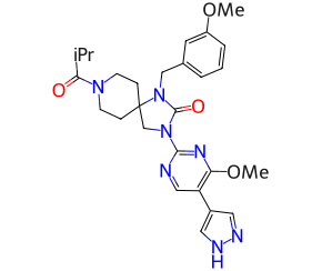 COc1cccc(CN2C(=O)N(c3ncc(-c4cn[nH]c4)c(OC)n3)CC23CCN(C(=O)C(C)C)CC3)c1